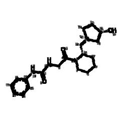 O=C(NCC(=O)N1CCCC[C@H]1CN1CC[C@H](O)C1)Nc1ccccc1